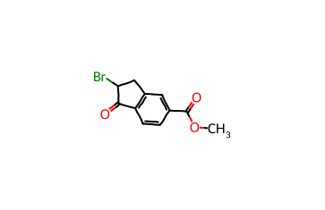 COC(=O)c1ccc2c(c1)CC(Br)C2=O